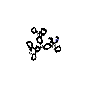 C=Cc1c(/C=C\C)n(-c2ccccc2)c2ccc(N(c3ccc4c(c3)-c3ccccc3Oc3ccccc3-4)c3ccc4c(c3)c3ccccc3n4-c3ccccc3)cc12